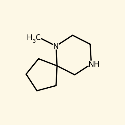 CN1CCNCC12CCCC2